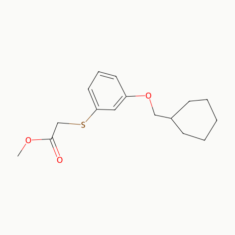 COC(=O)CSc1cccc(OCC2CCCCC2)c1